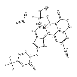 CC(C)(C)c1cnn(Cc2cc3nccc(-c4cc(C#N)cc5c4N([C@@H]4CN[C@@](C)(CO)C4)C(=O)CO5)c3s2)c(=O)c1.O=CO